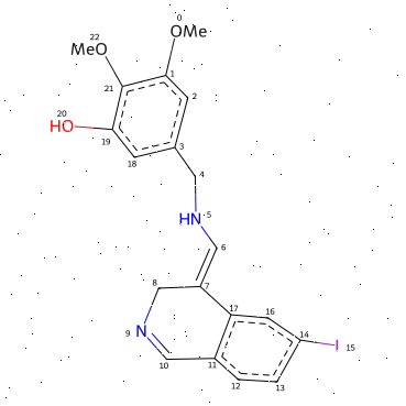 COc1cc(CNC=C2CN=Cc3ccc(I)cc32)cc(O)c1OC